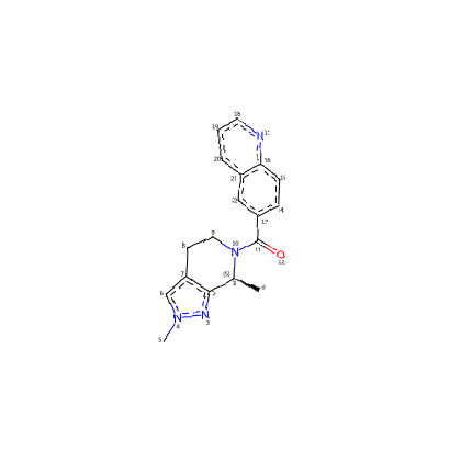 C[C@H]1c2nn(C)[c]c2CCN1C(=O)c1ccc2ncccc2c1